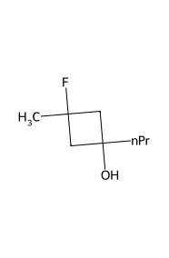 CCCC1(O)CC(C)(F)C1